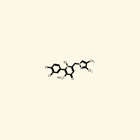 CCn1c(Cn2cc(C)c(C(F)(F)F)n2)cc(=O)c(C(=O)O)c1-c1ccc(Cl)c(Cl)c1